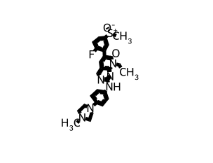 CCn1c(=O)c(-c2cc([S+](C)[O-])ccc2F)cc2cnc(Nc3ccc(N4CCN(C)CC4)cc3)nc21